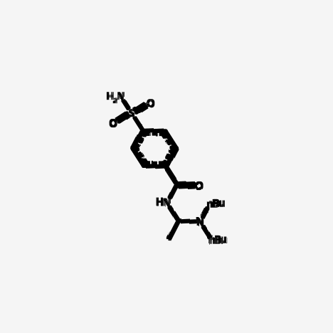 CCCCN(CCCC)C(C)NC(=O)c1ccc(S(N)(=O)=O)cc1